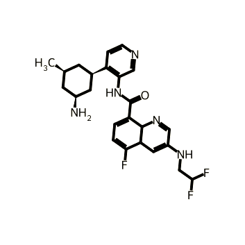 C[C@@H]1C[C@H](N)C[C@H](c2ccncc2NC(=O)C2=CC=C(F)C3C=C(NCC(F)F)C=NC23)C1